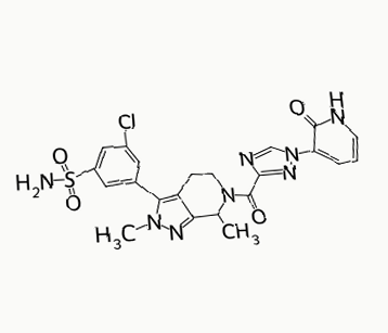 CC1c2nn(C)c(-c3cc(Cl)cc(S(N)(=O)=O)c3)c2CCN1C(=O)c1ncn(-c2ccc[nH]c2=O)n1